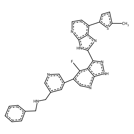 Cc1ccc(-c2ccnc3[nH]c(-c4n[nH]c5ncc(-c6cncc(CNCc7ccccc7)c6)c(F)c45)nc23)s1